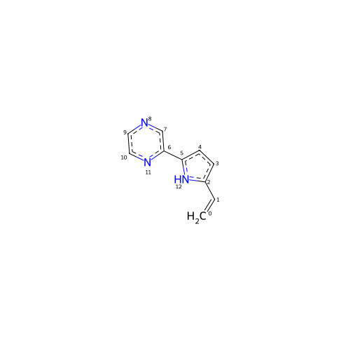 C=Cc1ccc(-c2cnccn2)[nH]1